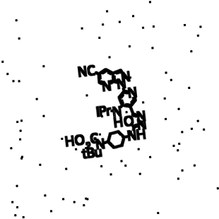 CC(C)Nc1cc(-n2ncc3cc(C#N)cnc32)ncc1-c1nnc(NC2CCC(N(C(=O)O)C(C)(C)C)CC2)o1